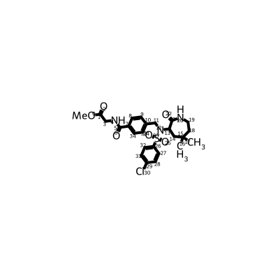 COC(=O)CNC(=O)c1ccc(CN(C2CC(C)(C)CCNC2=O)S(=O)(=O)c2ccc(Cl)cc2)cc1